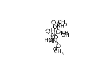 COc1cccc(CNC[C@@H](O)[C@H](Cc2ccccc2)NC(=O)c2cc(NO)cc(C(=O)N[C@H](C)c3ccccc3)c2)c1